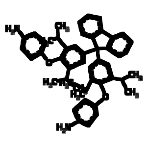 CC(C)c1cc(C2(c3cc(C(C)C)c(Oc4ccc(N)cc4)c(C(C)C)c3)c3ccccc3-c3ccccc32)cc(C(C)C)c1Oc1ccc(N)cc1